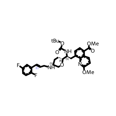 COC(=O)c1ccc(C[C@H](NC(=O)OC(C)(C)C)[C@H]2CC[C@H](NC/C=C/c3cc(F)ccc3F)CO2)c2nc(OC)ccc12